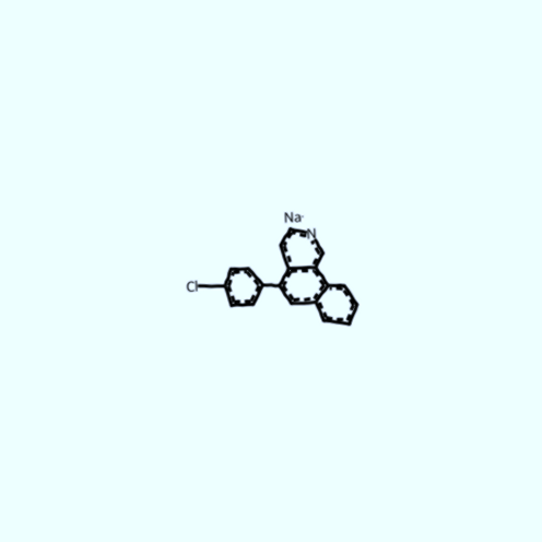 Clc1ccc(-c2cc3ccccc3c3cnccc23)cc1.[Na]